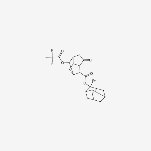 CCC1(OC(=O)C2C3CC4C(CC(=O)C42)C3OC(=O)C(C)(F)F)C2CC3CC(C2)CC1C3